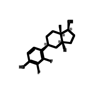 C[C@]12CC[C@H](c3ccc(O)c(F)c3F)C[C@H]1CC[C@@H]2O